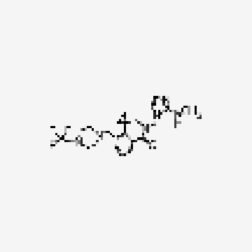 CNc1nccn1CN1CC2(CC2)c2c(CN3CCN(CC(F)(F)F)CC3)cccc2C1=O